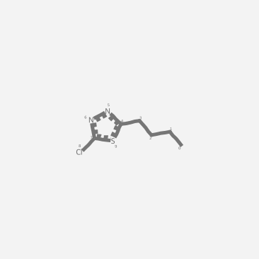 CCCCc1nnc(Cl)s1